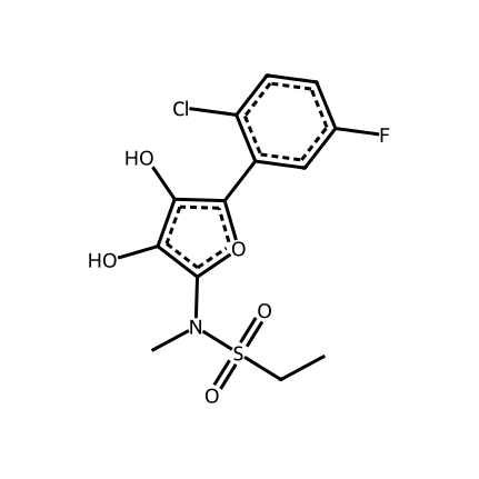 CCS(=O)(=O)N(C)c1oc(-c2cc(F)ccc2Cl)c(O)c1O